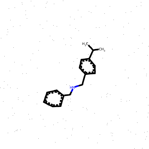 CC(C)c1ccc(CN[CH]c2ccccc2)cc1